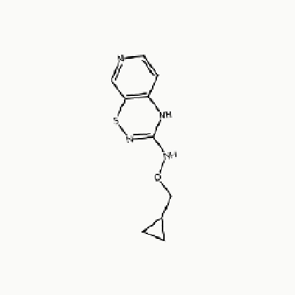 c1cc2c(cn1)SN=C(NOCC1CC1)N2